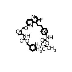 CC(C)(C)OC(=O)NC12CCC(CCc3c(F)cnc4ccc(OC[C@@H]5OC[C@@H]5NC(=O)OCc5ccccc5)nc34)(CC1)OC2